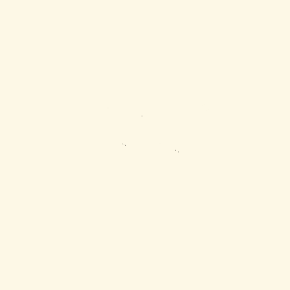 CN(CC1CCCO1)C(C(=O)c1c[nH]c2ccccc12)c1ccccc1